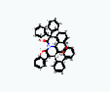 O=C1N2c3oc4ccccc4c3B(c3ccccc3-c3ccccc3)c3ccc4cccc(c4c32)C1(c1ccccc1)c1ccccc1